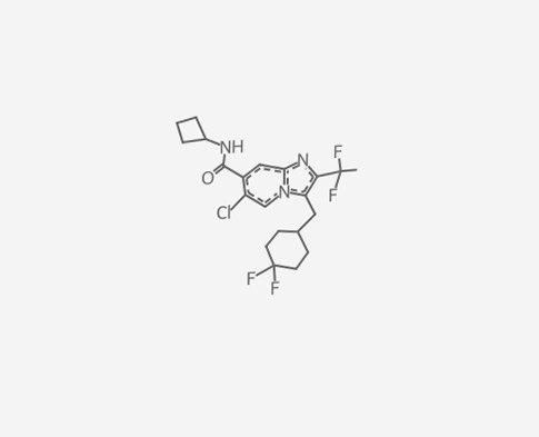 CC(F)(F)c1nc2cc(C(=O)NC3CCC3)c(Cl)cn2c1CC1CCC(F)(F)CC1